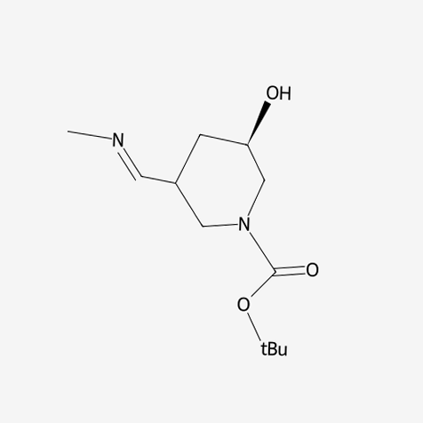 C/N=C/C1C[C@@H](O)CN(C(=O)OC(C)(C)C)C1